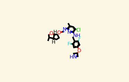 Cc1cc(Cl)c(NCc2c(F)cc(OC3CNC3)cc2F)nc1/N=C/OC1CC[C@@H]2C(C)CO[C@H]12